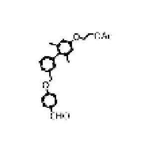 CC(=O)OCCOc1cc(C)c(-c2cccc(COc3ccc(C=O)cc3)c2)c(C)c1